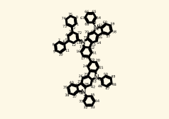 C1=CC(C2=CC(c3ccccc3)CC(n3c4ccc(-c5ccc6c(c5)C5=Cc7c(n(-c8ccccc8)c8ccccc78)CC5N6c5ccccc5)cc4c4cc5c6ccccc6n(-c6ccccc6)c5cc43)=C2)=CCC1